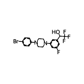 OC(c1cc(F)cc(N2CCN(c3ccc(Br)cc3)CC2)c1)C(F)(F)F